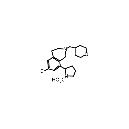 O=C(O)N1CCCC1c1cc(Cl)cc2c1CN(CC1CCOCC1)CC2